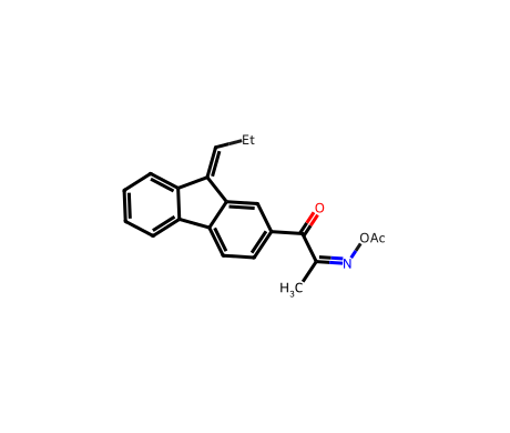 CC/C=C1/c2ccccc2-c2ccc(C(=O)/C(C)=N\OC(C)=O)cc21